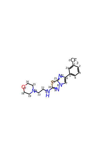 FC(F)(F)c1cccc(-c2cn3nc(NCCN4CCOCC4)sc3n2)c1